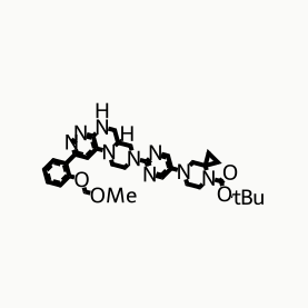 COCOc1ccccc1-c1cc2c(nn1)NC[C@H]1CN(c3ncc(N4CCN(C(=O)OC(C)(C)C)C5(CC5)C4)cn3)CCN21